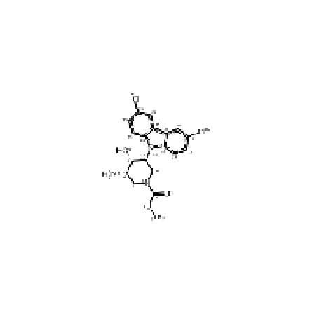 CC(C)(C)OC(=O)N1C[C@H](N)[C@H](O)[C@@H](n2c3ccc(Cl)cc3c3cc(Cl)ccc32)C1